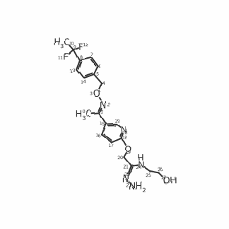 C/C(=N\OCc1ccc(C(C)(F)F)cc1)c1ccc(OC/C(=N/N)NCCO)nc1